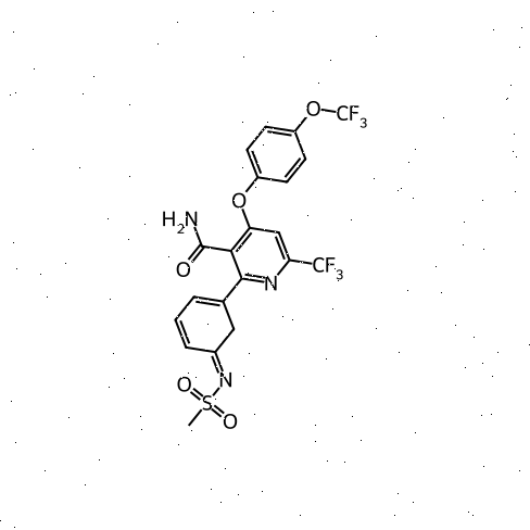 CS(=O)(=O)N=C1C=CC=C(c2nc(C(F)(F)F)cc(Oc3ccc(OC(F)(F)F)cc3)c2C(N)=O)C1